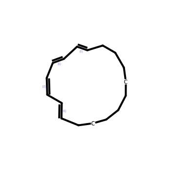 [C]1=C/C=C/C=C\C=C\CCCCCCCCC/1